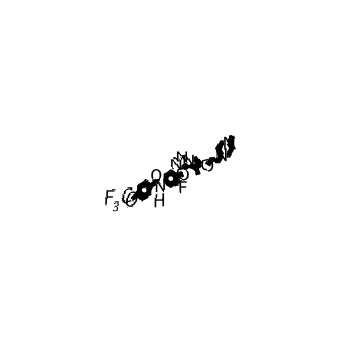 Cc1c(OCCN2CCN(C)CC2)cn2ncnc(Oc3ccc(NC(=O)c4ccc(OC(F)(F)F)cc4)cc3F)c12